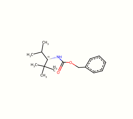 CC(C)[C@H](NC(=O)OCc1ccccc1)C(C)(C)C